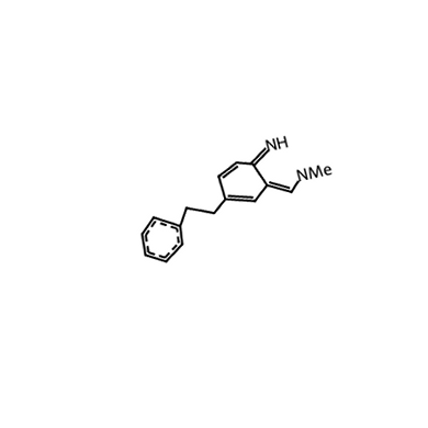 CN/C=C1/C=C(CCc2ccccc2)C=CC1=N